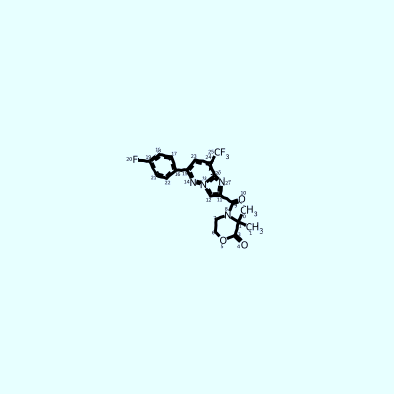 CC1(C)C(=O)OCCN1C(=O)c1cn2nc(-c3ccc(F)cc3)cc(C(F)(F)F)c2n1